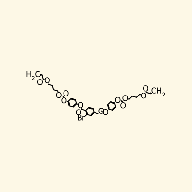 C=CC(=O)OCCCCOC(=O)Oc1ccc(OOCc2ccc(C(=O)Oc3ccc(OC(=O)OCCCCOC(=O)C=C)cc3)c(Br)c2)cc1